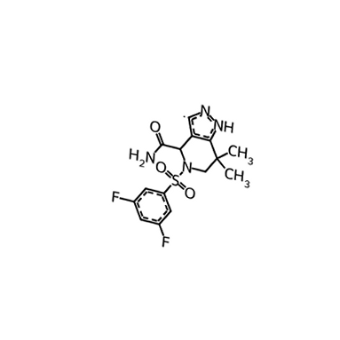 CC1(C)CN(S(=O)(=O)c2cc(F)cc(F)c2)C(C(N)=O)c2[c]n[nH]c21